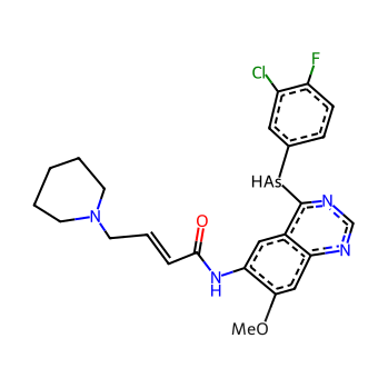 COc1cc2ncnc([AsH]c3ccc(F)c(Cl)c3)c2cc1NC(=O)C=CCN1CCCCC1